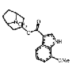 COc1cccc2c(C(=O)OC3CC4CCC(C3)N4C)c[nH]c12